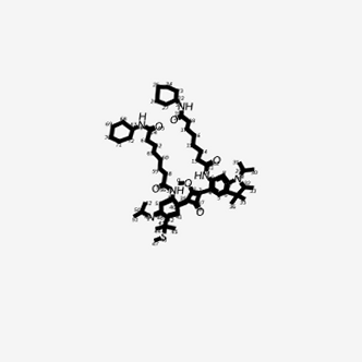 COC1=C(c2cc3c(cc2NC(=O)CCCCCCC(=O)NC2CCCCC2)N(C(C)C)C(C)C3(C)C)C(=O)/C1=C1C=C(C(C)(C)SC)/C(=N/C(C)C)C=C\1NC(=O)CCCCCCC(=O)NC1CCCCC1